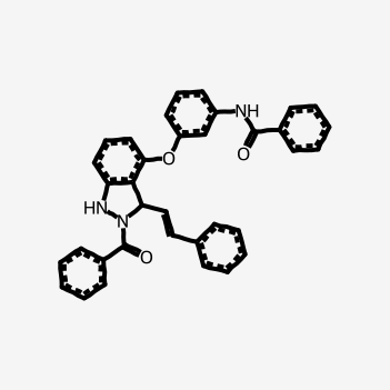 O=C(Nc1cccc(Oc2cccc3c2C(C=Cc2ccccc2)N(C(=O)c2ccccc2)N3)c1)c1ccccc1